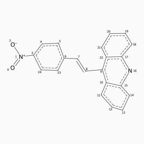 O=[N+]([O-])c1ccc(C=Cc2c3ccccc3nc3ccccc23)cc1